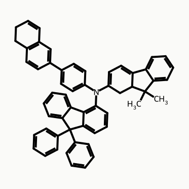 CC1(C)c2ccccc2C2=CC=C(N(c3ccc(-c4ccc5c(c4)C=CCC5)cc3)c3cccc4c3-c3ccccc3C4(c3ccccc3)c3ccccc3)CC21